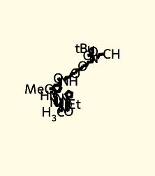 C#CCCN(CCCOCCOCCCNC(=O)c1ccc(Nc2ncc3c(n2)N(C2CCCC2)[C@H](CC)C(=O)N3C)c(OC)c1)C(=O)OC(C)(C)C